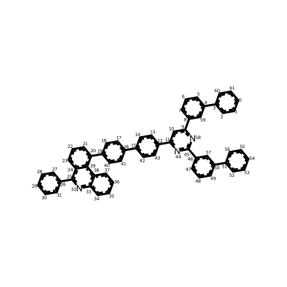 c1ccc(-c2cccc(-c3cc(-c4ccc(-c5ccc(-c6cccc7c(-c8ccccc8)nc8ccccc8c67)cc5)cc4)nc(-c4cccc(-c5ccccc5)c4)n3)c2)cc1